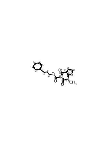 Cn1c(=O)n(C(=O)OCCCc2ccccc2)c(=O)c2ccsc21